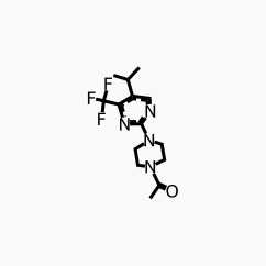 CC(=O)N1CCN(c2ncc(C(C)C)c(C(F)(F)F)n2)CC1